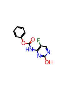 O=C(Nc1nc(O)ncc1F)Oc1ccccc1